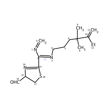 C=N/C(=N\CCCC(C)(C)C(=C)CC)C1=NC(C=O)CS1